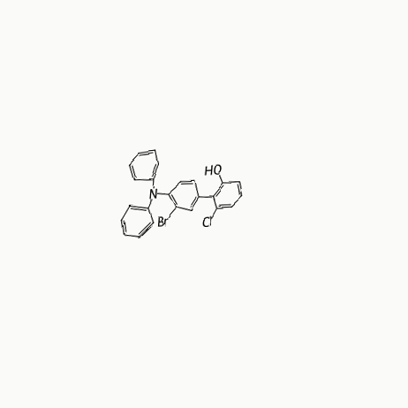 Oc1cccc(Cl)c1-c1ccc(N(c2ccccc2)c2ccccc2)c(Br)c1